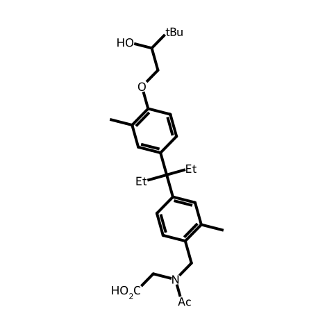 CCC(CC)(c1ccc(CN(CC(=O)O)C(C)=O)c(C)c1)c1ccc(OCC(O)C(C)(C)C)c(C)c1